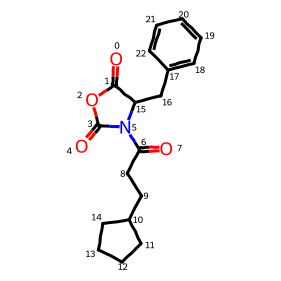 O=C1OC(=O)N(C(=O)CCC2CCCC2)C1Cc1ccccc1